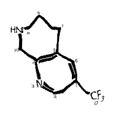 FC(F)(F)c1cnc2c(c1)CCNC2